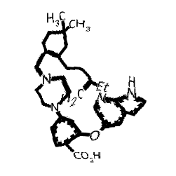 C=C(CC)CCC1=C(CN2CCN(c3ccc(C(=O)O)c(Oc4cnc5[nH]ccc5c4)c3)CC2)CCC(C)(C)C1